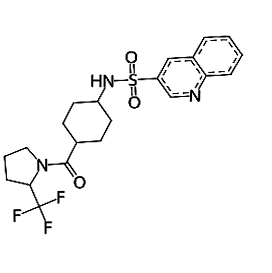 O=C(C1CCC(NS(=O)(=O)c2cnc3ccccc3c2)CC1)N1CCCC1C(F)(F)F